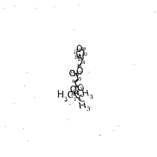 CCC(C)(C)OC(=O)/C=C/C(=O)OCCN1CCOCC1